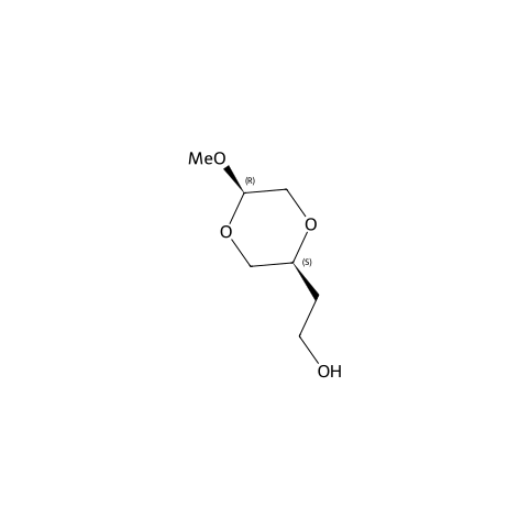 CO[C@H]1CO[C@@H](CCO)CO1